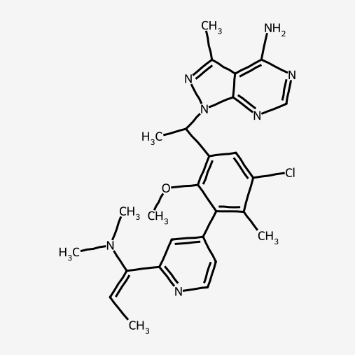 C/C=C(\c1cc(-c2c(C)c(Cl)cc(C(C)n3nc(C)c4c(N)ncnc43)c2OC)ccn1)N(C)C